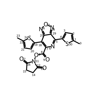 Cc1ccc(-c2nc(C(=O)ON3C(=O)CCC3=O)c(-c3ccc(C)s3)c3nonc23)s1